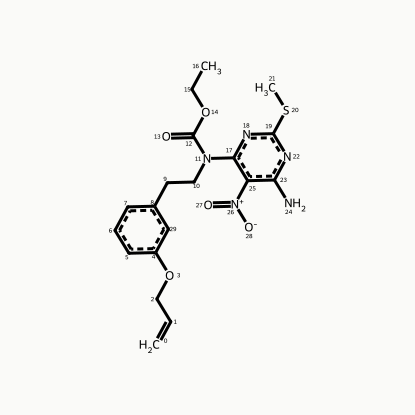 C=CCOc1cccc(CCN(C(=O)OCC)c2nc(SC)nc(N)c2[N+](=O)[O-])c1